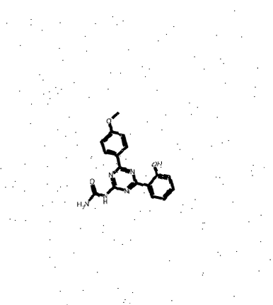 COc1ccc(-c2nc(NC(N)=O)nc(-c3ccccc3O)n2)cc1